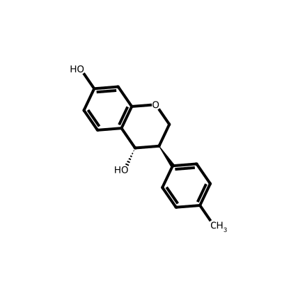 Cc1ccc([C@@H]2COc3cc(O)ccc3[C@H]2O)cc1